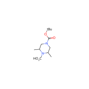 CC1CN(C(=O)OC(C)(C)C)CC(C)N1C(=O)O